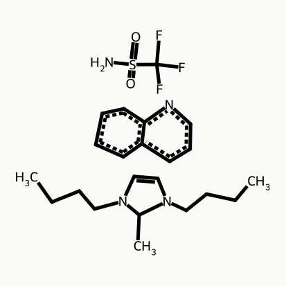 CCCCN1C=CN(CCCC)C1C.NS(=O)(=O)C(F)(F)F.c1ccc2ncccc2c1